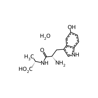 C[C@H](NC(=O)[C@@H](N)Cc1c[nH]c2ccc(O)cc12)C(=O)O.O